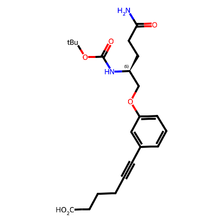 CC(C)(C)OC(=O)N[C@@H](CCC(N)=O)COc1cccc(C#CCCCC(=O)O)c1